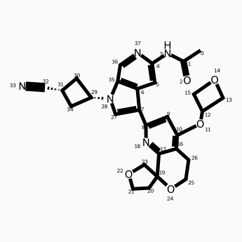 CC(=O)Nc1cc2c(-c3cc(OC4COC4)c4c(n3)C3(CCOC3)OCC4)cn([C@H]3C[C@@H](C#N)C3)c2cn1